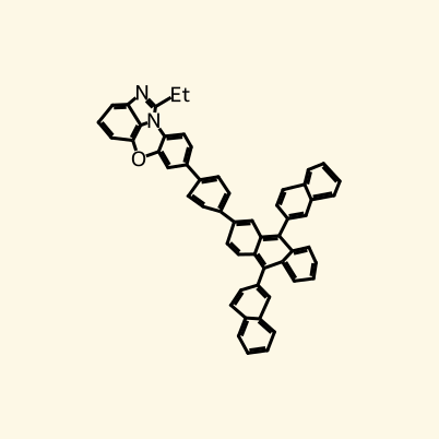 CCc1nc2cccc3c2n1-c1ccc(-c2ccc(-c4ccc5c(-c6ccc7ccccc7c6)c6ccccc6c(-c6ccc7ccccc7c6)c5c4)cc2)cc1O3